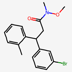 CON(C)C(=O)CC(c1cccc(Br)c1)c1ccccc1C